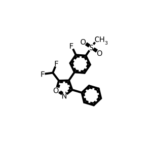 CS(=O)(=O)c1ccc(-c2c(-c3ccccc3)noc2C(F)F)cc1F